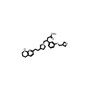 COC(=O)CC(CN1CCC(CCc2ccc3c(n2)NCCC3)C1)c1cccc(OCC2COC2)c1